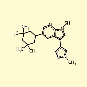 Cn1cc(-c2cn(S)c3ncc(C4CC(C)(C)CC(C)(C)C4)cc23)cn1